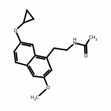 COc1cc(CCNC(C)=O)c2cc(OC3CC3)ccc2c1